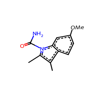 COc1ccc2c(C)c(C)n(C(N)=O)c2c1